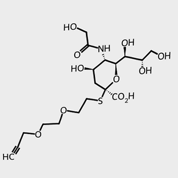 C#CCOCCOCCS[C@@]1(C(=O)O)C[C@@H](O)[C@H](NC(=O)CO)[C@@H]([C@@H](O)[C@@H](O)CO)O1